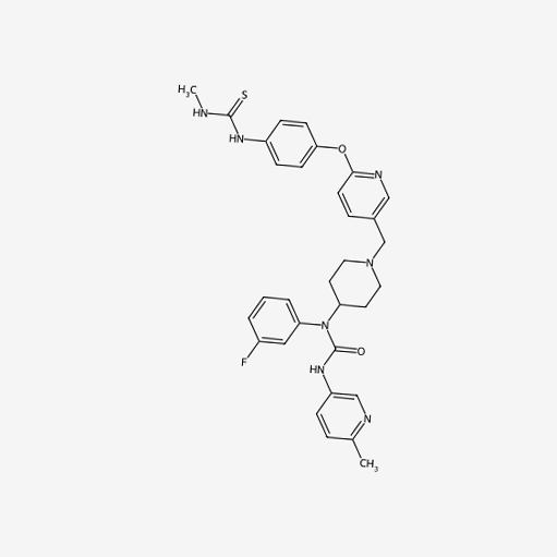 CNC(=S)Nc1ccc(Oc2ccc(CN3CCC(N(C(=O)Nc4ccc(C)nc4)c4cccc(F)c4)CC3)cn2)cc1